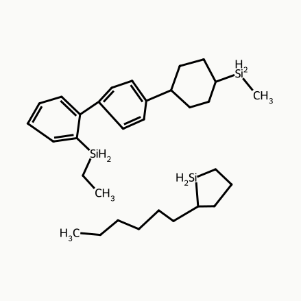 CCCCCCC1CCC[SiH2]1.CC[SiH2]c1ccccc1-c1ccc(C2CCC([SiH2]C)CC2)cc1